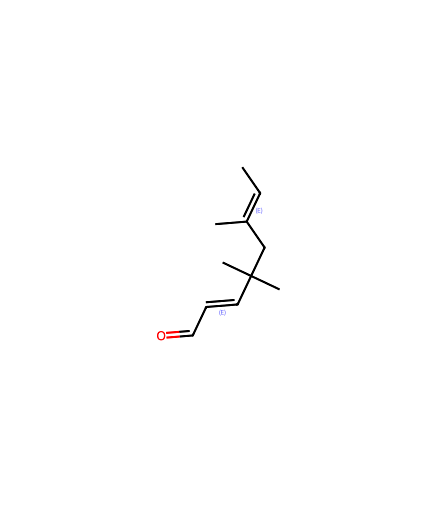 C/C=C(\C)CC(C)(C)/C=C/C=O